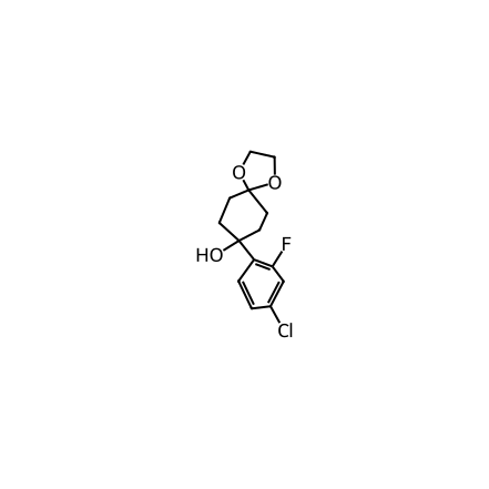 OC1(c2ccc(Cl)cc2F)CCC2(CC1)OCCO2